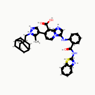 Cc1c(-c2ccn3c(Nc4ccccc4C(=O)Nc4nc5ccccc5s4)cnc3c2C(=O)O)cnn1CC12CC3CC(CC(C3)C1)C2